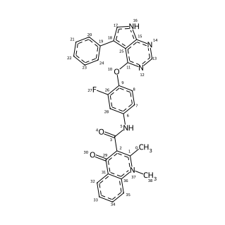 Cc1c(C(=O)Nc2ccc(Oc3ncnc4[nH]cc(-c5ccccc5)c34)c(F)c2)c(=O)c2ccccc2n1C